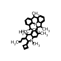 C=C/C=C1/C(=C)c2cc(C3C(C)c4cccc5c4N3c3c(C(C)C)cccc3C5C)c(C)cc2N(C)/C1=C1\C=CC1